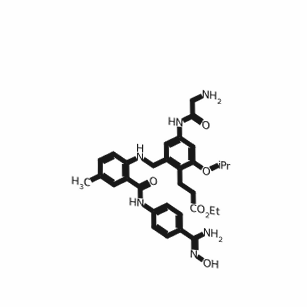 CCOC(=O)CCc1c(CNc2ccc(C)cc2C(=O)Nc2ccc(/C(N)=N/O)cc2)cc(NC(=O)CN)cc1OC(C)C